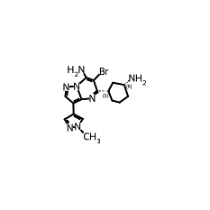 Cn1cc(-c2cnn3c(N)c(Br)c([C@H]4CCC[C@@H](N)C4)nc23)cn1